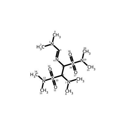 CN(C)C=NC(C(N(C)C)S(=O)(=O)N(C)C)S(=O)(=O)N(C)C